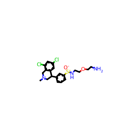 CN1Cc2c(Cl)cc(Cl)cc2C(c2cccc([S+]([O-])NCCOCCN)c2)C1